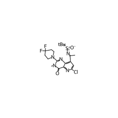 CC(=N[S@+]([O-])C(C)(C)C)c1cc(Cl)nc2c(=O)n(C)c(N3CCC(F)(F)CC3)nc12